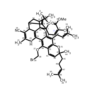 COC(=O)/C(C)=C\CC12OC(C)(C)C3CC(C1=O)C1C(C#N)=C(N)NC4=C1C32Oc1c(CC=C(C)C)c2c(c(OCBr)c14)C=CC(C)(CCC=C(C)C)O2